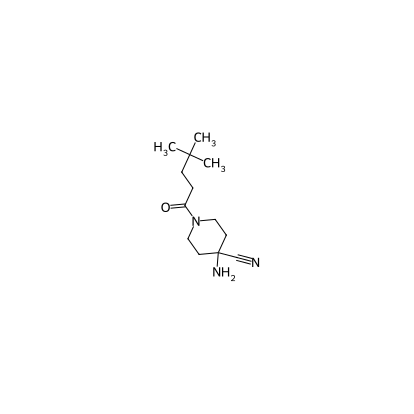 CC(C)(C)CCC(=O)N1CCC(N)(C#N)CC1